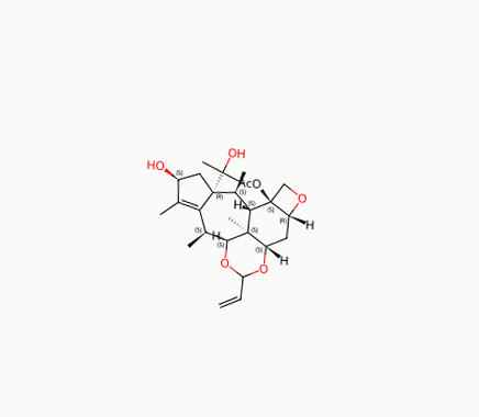 C=CC1O[C@H]2C[C@H]3OC[C@@]3(OC(C)=O)[C@H]3[C@H](C)[C@]4(C(C)(C)O)C[C@H](O)C(C)=C4[C@H](C)[C@H](O1)[C@]23C